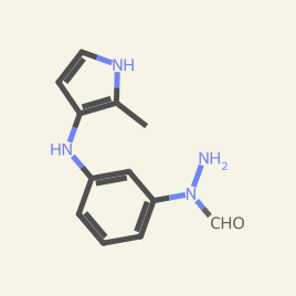 Cc1[nH]ccc1Nc1cccc(N(N)C=O)c1